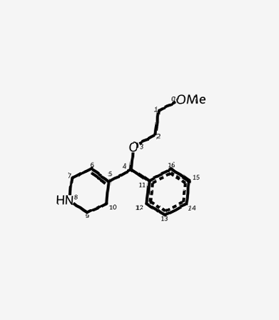 COCCOC(C1=CCNCC1)c1ccccc1